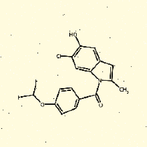 Cc1[c]c2cc(O)c(Cl)cc2n1C(=O)c1ccc(OC(F)F)cc1